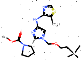 CC(C)(C)OC(=O)N1CCC[C@H]1c1nc(Nc2ncsc2C(=O)O)cn1COCC[Si](C)(C)C